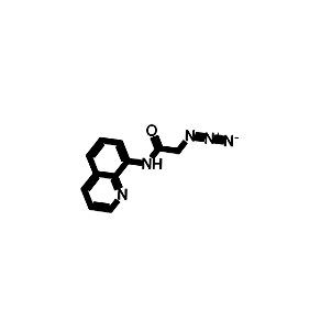 [N-]=[N+]=NCC(=O)Nc1cccc2cccnc12